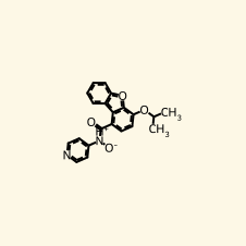 CC(C)Oc1ccc(C(=O)[NH+]([O-])c2ccncc2)c2c1oc1ccccc12